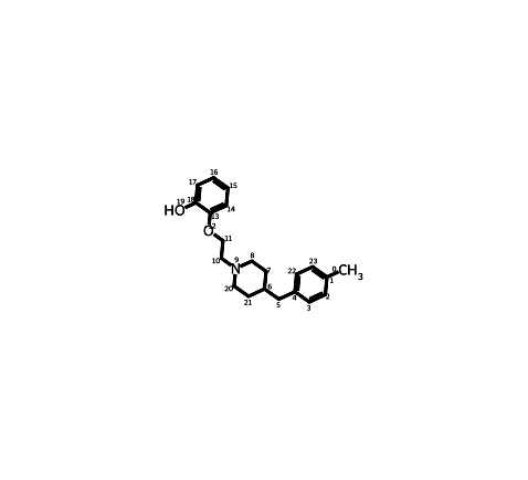 Cc1ccc(CC2CCN(CCOc3ccccc3O)CC2)cc1